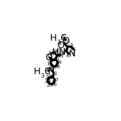 COC(=O)c1ccncc1NCC1CCOc2cc(N(C)Cc3ccccc3)ccc21